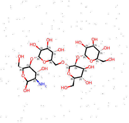 N[C@H]1C(O)O[C@H](CO)[C@@H](O[C@H]2O[C@H](CO[C@H]3O[C@H](CO)[C@@H](O)[C@H](O)[C@@H]3O[C@H]3O[C@H](CO)[C@@H](O)[C@H](O)[C@@H]3O)[C@@H](O)[C@H](O)[C@@H]2O)[C@@H]1O